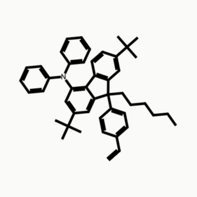 C=Cc1ccc(C2(CCCCCC)c3cc(C(C)(C)C)ccc3-c3c(N(c4ccccc4)c4ccccc4)cc(C(C)(C)C)cc32)cc1